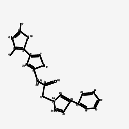 Cc1nc(C)c(-c2csc(NC(=O)Cn3cc(-c4cccnc4)cn3)n2)s1